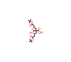 CC(C)(C)OC(=O)CCCC(CCCC(=O)OC(C)(C)C)(C(=O)O)C(=O)O